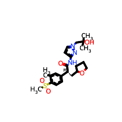 Cc1cc([C@@H](CC2CCCO2)C(=O)Nc2ccn(CC(C)(C)O)n2)ccc1S(C)(=O)=O